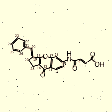 O=C(O)/C=C/C(=O)Nc1ccc2c(=O)c3c(oc2c1)C(=Cc1ccccc1)CC3